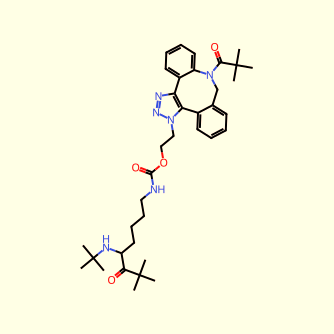 CC(C)(C)NC(CCCCNC(=O)OCCn1nnc2c1-c1ccccc1CN(C(=O)C(C)(C)C)c1ccccc1-2)C(=O)C(C)(C)C